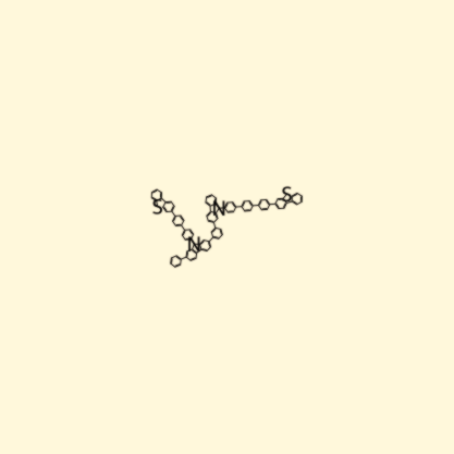 c1ccc(-c2ccc3c4ccc(-c5cccc(-c6ccc7c8ccccc8n(-c8ccc(-c9ccc(-c%10ccc(-c%11ccc%12c(c%11)sc%11ccccc%11%12)cc%10)cc9)cc8)c7c6)c5)cc4n(-c4ccc(-c5ccc(-c6ccc7c(c6)sc6ccccc67)cc5)cc4)c3c2)cc1